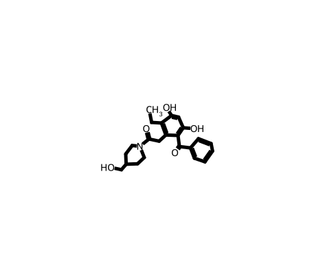 CCc1c(O)cc(O)c(C(=O)c2ccccc2)c1CC(=O)N1CCC(CO)CC1